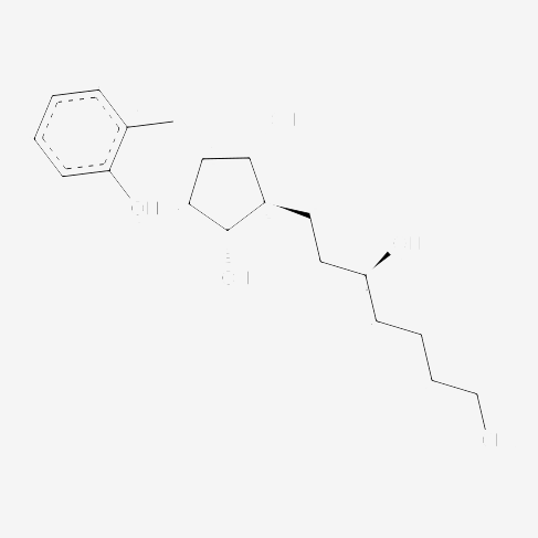 CCCCC[C@H](O)CC[C@@H]1[C@@H](C)[C@@H](Cc2ccccc2O)C[C@H]1O